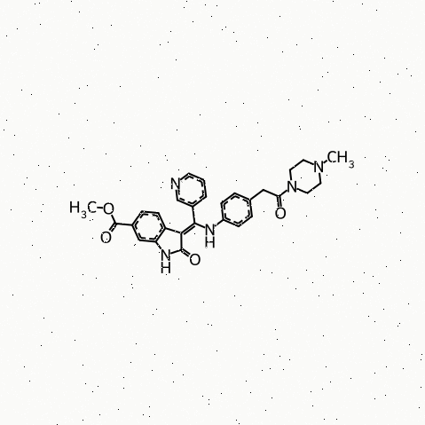 COC(=O)c1ccc2c(c1)NC(=O)/C2=C(\Nc1ccc(CC(=O)N2CCN(C)CC2)cc1)c1cccnc1